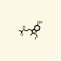 CC(=O)NCCc1c(C)n(SI)c2ccc(O)cc12